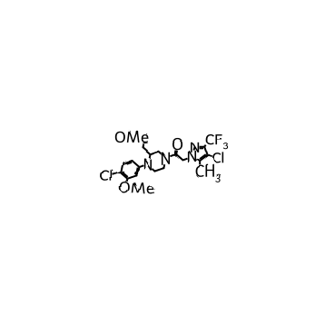 COCC1CN(C(=O)Cn2nc(C(F)(F)F)c(Cl)c2C)CCN1c1ccc(Cl)c(OC)c1